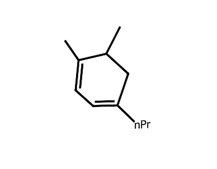 CCCC1=CC=C(C)C(C)C1